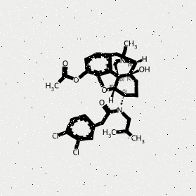 CC(=O)Oc1ccc2c3c1O[C@H]1[C@@H](N(CC(C)C)C(=O)Cc4ccc(Cl)c(Cl)c4)CC[C@@]4(O)[C@@H](C2)N(C)CC[C@]314